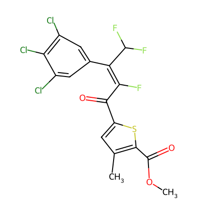 COC(=O)c1sc(C(=O)/C(F)=C(\c2cc(Cl)c(Cl)c(Cl)c2)C(F)F)cc1C